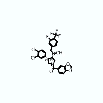 CN(Cc1ccc(C(F)(F)F)c(F)c1)[C@H]1CN(C(=O)c2ccc3c(c2)OCO3)C[C@@H]1c1ccc(Cl)c(Cl)c1